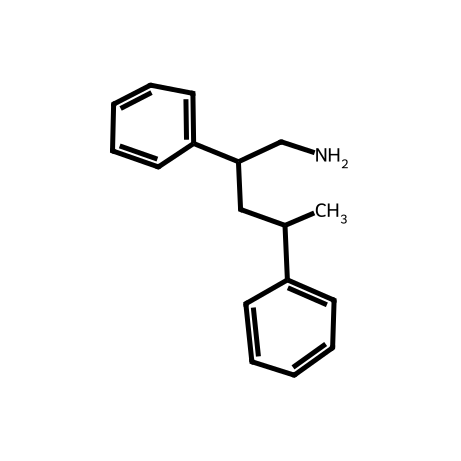 CC(CC(CN)c1ccccc1)c1ccccc1